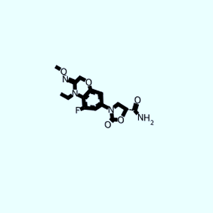 CCN1C(=NOC)COc2cc(N3C[C@H](C(N)=O)OC3=O)cc(F)c21